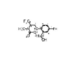 CN(C(=O)OC(C)(C)C)C(COc1ccc(F)cc1CO)C(F)(F)F